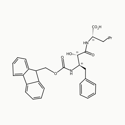 CC(C)C[C@H](NC(=O)[C@@H](O)[C@@H](Cc1ccccc1)NC(=O)OCC1c2ccccc2-c2ccccc21)C(=O)O